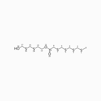 CSCSCSCSCC(=O)OCCSCSCO